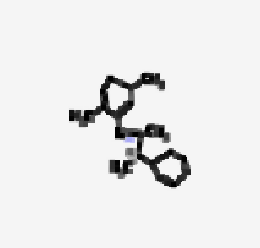 CC1=CCC(C)C=C1/N=C(\C)[C@@H](C)C1C=CC=CC1